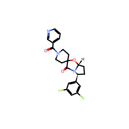 O=C(c1cccnc1)N1CCC2(CC1)O[C@@H]1CC[C@@H](c3cc(F)cc(F)c3)N1C2=O